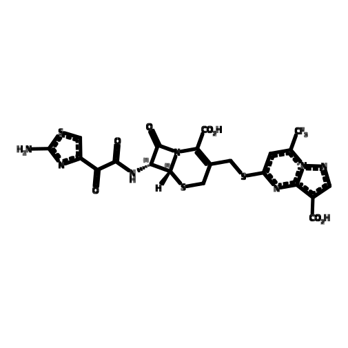 Nc1nc(C(=O)C(=O)N[C@@H]2C(=O)N3C(C(=O)O)=C(CSc4cc(C(F)(F)F)n5ncc(C(=O)O)c5n4)CS[C@H]23)cs1